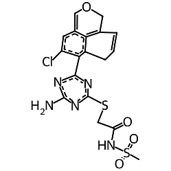 CS(=O)(=O)NC(=O)CSc1nc(N)nc(-c2c(Cl)cc3c4c2CC=CC=4COC=3)n1